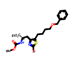 CCOC(=O)[C@H](Cc1nc(Br)sc1CCCCOCc1ccccc1)NC(=O)OC(C)(C)C